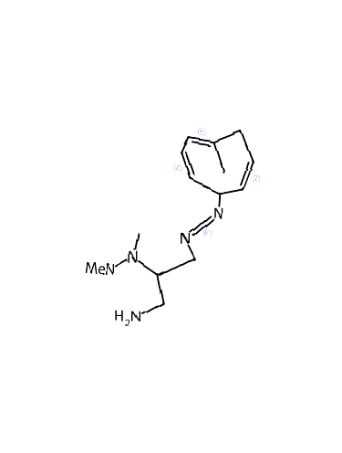 CNN(C)C(CN)C/N=N/C1/C=C\C=C(/C)C/C=C\1